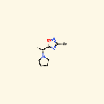 CC(C)c1noc(C(C)N2CCCC2)n1